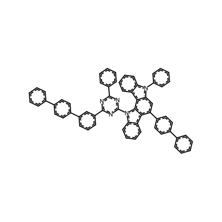 c1ccc(-c2ccc(-c3cccc(-c4nc(-c5ccccc5)nc(-n5c6ccccc6c6c(-c7ccc(-c8ccccc8)cc7)cc7c(c8ccccc8n7-c7ccccc7)c65)n4)c3)cc2)cc1